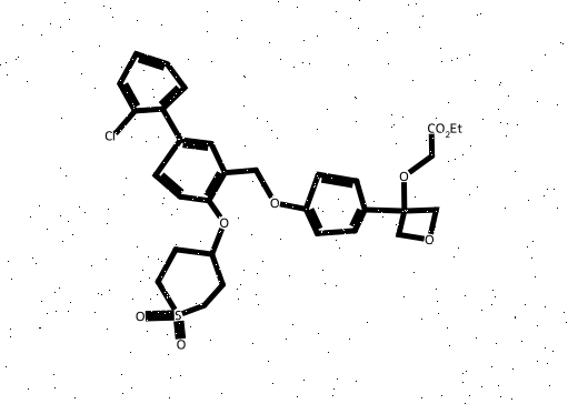 CCOC(=O)COC1(c2ccc(OCc3cc(-c4ccccc4Cl)ccc3OC3CCS(=O)(=O)CC3)cc2)COC1